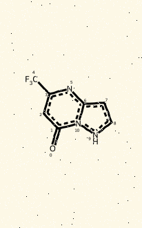 O=c1cc(C(F)(F)F)nc2cc[nH]n12